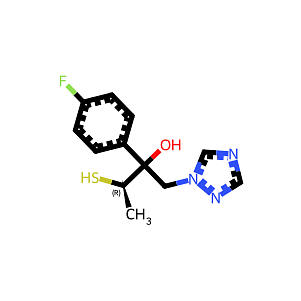 C[C@@H](S)C(O)(Cn1cncn1)c1ccc(F)cc1